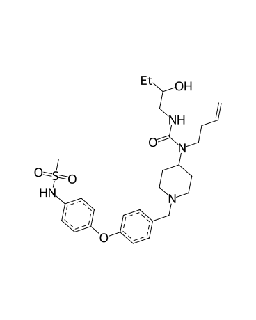 C=CCCN(C(=O)NCC(O)CC)C1CCN(Cc2ccc(Oc3ccc(NS(C)(=O)=O)cc3)cc2)CC1